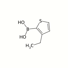 CCc1ccsc1B(O)O